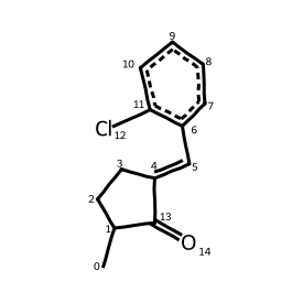 CC1CC/C(=C\c2ccccc2Cl)C1=O